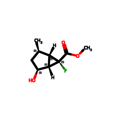 COC(=O)[C@]1(F)[C@@H]2[C@H]1[C@@H](O)C[C@H]2C